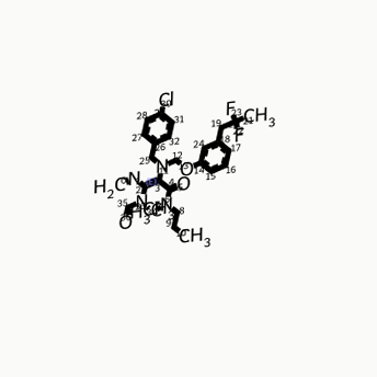 C=N/C(=C(/C(=O)N(C)CCC)N(COc1cccc(CC(C)(F)F)c1)Cc1ccc(Cl)cc1)N(C)C=O